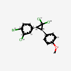 COc1ccc([C@H]2[C@H](c3ccc(Br)c(Cl)c3)C2(Cl)Cl)cc1